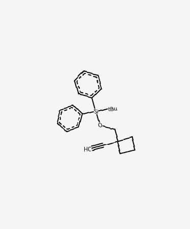 C#CC1(CO[Si](c2ccccc2)(c2ccccc2)C(C)(C)C)CCC1